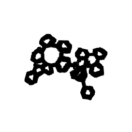 c1ccc(-c2ccc(N(c3ccc4c(c3)c3ccccc3c3ccccc3c3ccccc3c3c4ccc4c5ccccc5sc43)c3cccc4c3N(c3ccccc3)c3ccccc3-c3ccccc3-4)cc2)cc1